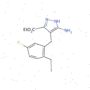 CCOC(=O)c1n[nH]c(N)c1Cc1cc(F)ccc1CI